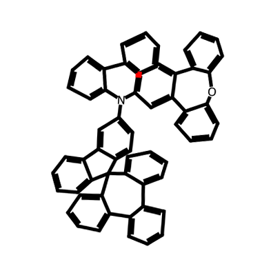 c1ccc(-c2ccccc2N(c2ccc3c(c2)-c2ccccc2Oc2ccccc2-3)c2ccc3c(c2)-c2ccccc2C32c3ccccc3-c3ccccc3-c3ccccc32)cc1